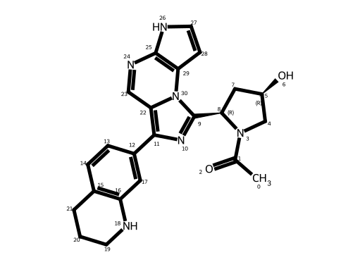 CC(=O)N1C[C@H](O)C[C@@H]1c1nc(-c2ccc3c(c2)NCCC3)c2cnc3[nH]ccc3n12